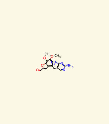 COc1cc(Cc2cnc(N)nc2N)c2cc(C=O)oc2c1OC